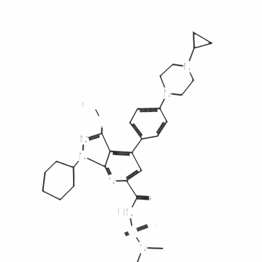 CC(C)Oc1nn(C2CCCCC2)c2nc(C(=O)NS(=O)(=O)N(C)C)cc(-c3ccc(N4CCN(C5CC5)CC4)cc3)c12